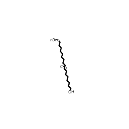 C.CCCCCCCCCCCCCCCCCCCCCCCCCCCO